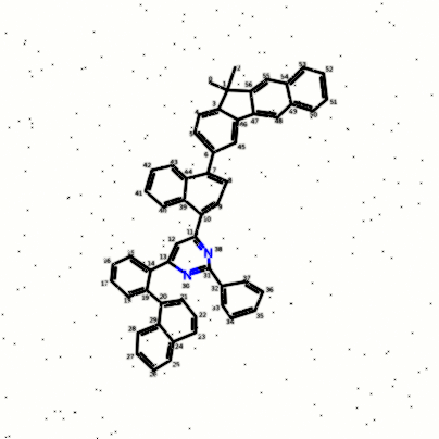 CC1(C)c2ccc(-c3ccc(-c4cc(-c5ccccc5-c5cccc6ccccc56)nc(-c5ccccc5)n4)c4ccccc34)cc2-c2cc3ccccc3cc21